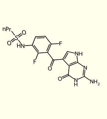 CCCS(=O)(=O)Nc1ccc(F)c(C(=O)c2c[nH]c3nc(N)[nH]c(=O)c23)c1F